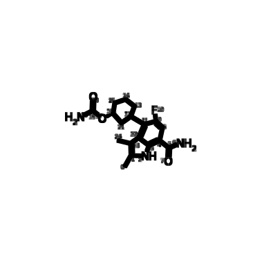 Cc1[nH]c2c(C(N)=O)cc(F)c(C3CCC[C@H](OC(N)=O)C3)c2c1C